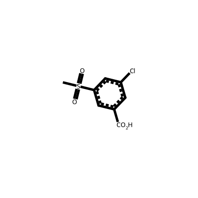 CS(=O)(=O)c1cc(Cl)cc(C(=O)O)c1